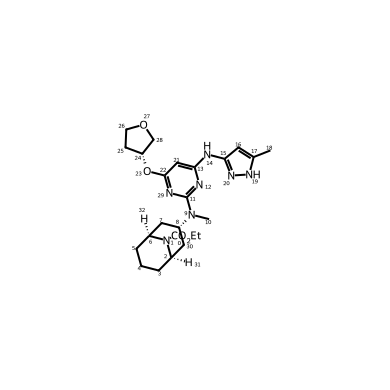 CCOC(=O)N1[C@@H]2CCC[C@H]1C[C@H](N(C)c1nc(Nc3cc(C)[nH]n3)cc(O[C@@H]3CCOC3)n1)C2